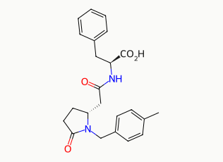 Cc1ccc(CN2C(=O)CC[C@@H]2CC(=O)N[C@@H](Cc2ccccc2)C(=O)O)cc1